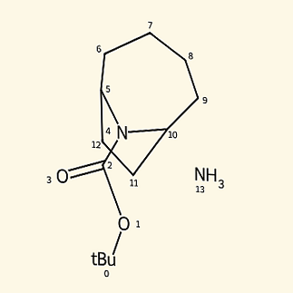 CC(C)(C)OC(=O)N1C2CCCCC1CC2.N